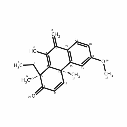 C=C1C(O)=C2[C@](C)(CC)C(=O)C=C[C@]2(C)c2cc(OC)ccc21